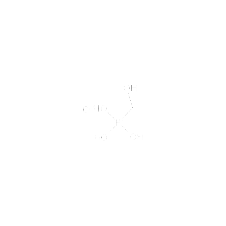 OC[P+](O)(O)O.[Cl-]